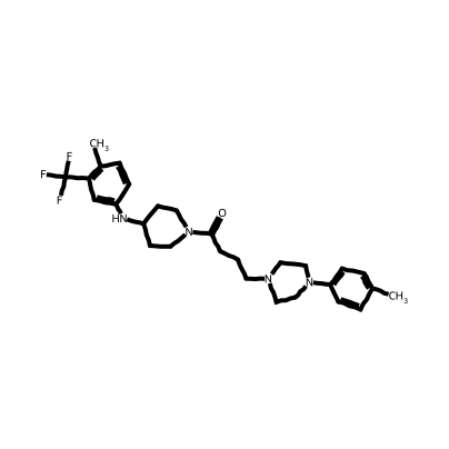 Cc1ccc(N2CCN(CCCC(=O)N3CCC(Nc4ccc(C)c(C(F)(F)F)c4)CC3)CC2)cc1